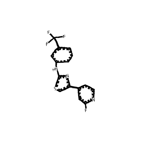 Fc1cc(-c2csc(Nc3cccc(C(F)(F)F)c3)n2)ccn1